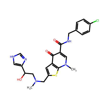 CN(Cc1cc2c(=O)c(C(=O)NCc3ccc(Cl)cc3)cn(C)c2s1)CC(O)c1c[nH]cn1